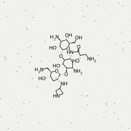 NC[C@H](O)C(=O)N[C@@H]1C[C@H](N)[C@@H](O[C@H]2O[C@H](CN)[C@@H](O)C[C@H]2NC2CNC2)[C@H](O)[C@H]1O[C@H]1O[C@H](CO)[C@@H](O)[C@H](N)[C@H]1O